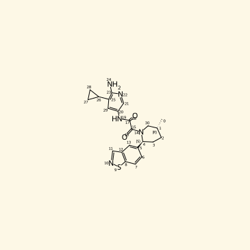 C[C@@H]1CC[C@@H](c2ccc3sncc3c2)N(C(=O)C(=O)Nc2cnc(N)c(C3CC3)c2)C1